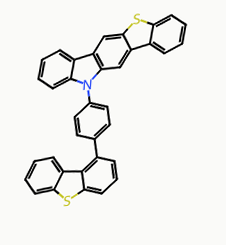 c1ccc2c(c1)sc1cc3c4ccccc4n(-c4ccc(-c5cccc6sc7ccccc7c56)cc4)c3cc12